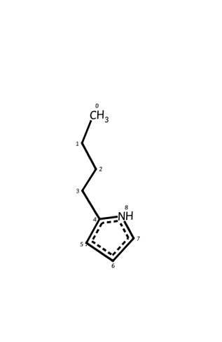 CCCCc1[c]cc[nH]1